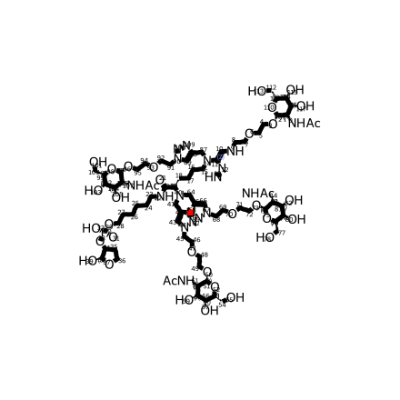 CC(=O)N[C@H]1[C@H](OCCOCCN/C=C(\N=N)N(CCCC[C@@H](C(=O)NCCCCCCOP(=O)(O)OC2CCO[C@@H]2O)N(Cc2cn(CCOCCO[C@@H]3O[C@H](CO)[C@H](O)[C@H](O)[C@H]3NC(C)=O)nn2)Cc2cn(CCOCCO[C@@H]3O[C@H](CO)[C@H](O)[C@H](O)[C@H]3NC(C)=O)nn2)Cc2cn(CCOCCO[C@@H]3O[C@H](CO)[C@H](O)[C@H](O)[C@H]3NC(C)=O)nn2)O[C@H](CO)[C@H](O)[C@@H]1O